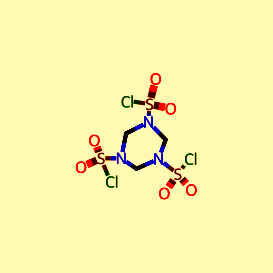 O=S(=O)(Cl)N1CN(S(=O)(=O)Cl)CN(S(=O)(=O)Cl)C1